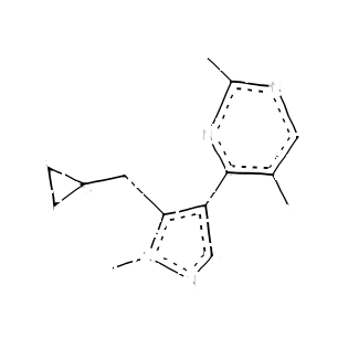 Cc1ncc(Cl)c(-c2cnn(C)c2CC2CC2)n1